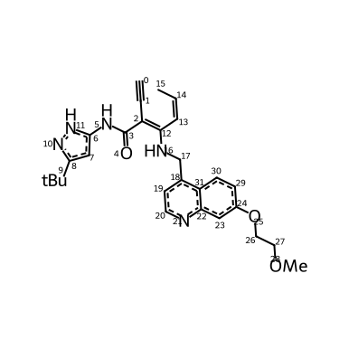 C#C/C(C(=O)Nc1cc(C(C)(C)C)n[nH]1)=C(\C=C/C)NCc1ccnc2cc(OCCOC)ccc12